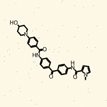 Cn1cccc1C(=O)Nc1ccc(C(=O)c2ccc(NC(=O)c3ccc(N4CCC(O)CC4)cc3)cc2)cc1